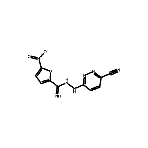 N#Cc1ccc(NNC(=N)c2ccc([N+](=O)[O-])o2)nn1